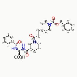 O=C(O)C[C@@H](NC(=O)c1ccccc1)NC(=O)[C@@H]1CCCN(C(=O)CCC2CCN(C(=O)OCc3ccccc3)CC2)C1